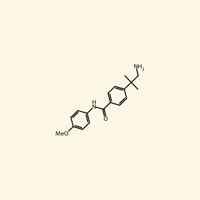 COc1ccc(NC(=O)c2ccc(C(C)(C)CN)cc2)cc1